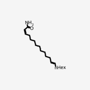 CCCCCCC=CCCCCCCCCC/C=C\C(N)=O